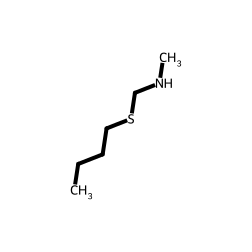 CCCCSCNC